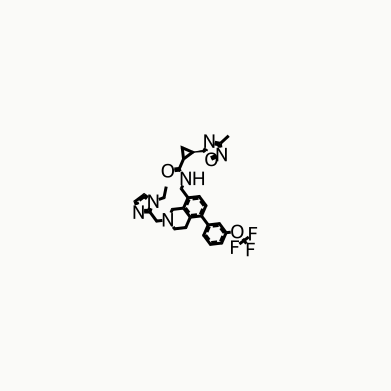 CCn1ccnc1CN1CCc2c(-c3cccc(OC(F)(F)F)c3)ccc(CNC(=O)C3C[C@H]3c3nc(C)no3)c2C1